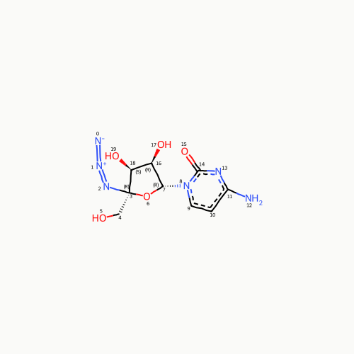 [N-]=[N+]=N[C@]1(CO)O[C@@H](n2ccc(N)nc2=O)[C@H](O)[C@@H]1O